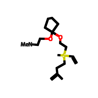 C=CS(C)(CCOC1(OCCNC)CCCC1)CCC(=C)C